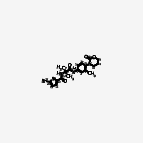 Cc1cc(NC(=O)C(C)(C)NC(=O)c2ccc(Br)s2)ccc1N1CCCOC1=O